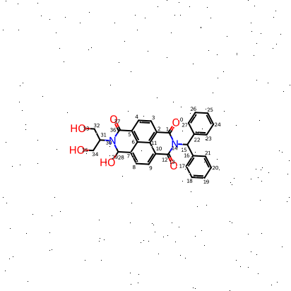 O=C1c2ccc3c4c(ccc(c24)C(=O)N1C(c1ccccc1)c1ccccc1)C(O)N(C(CO)CO)C3=O